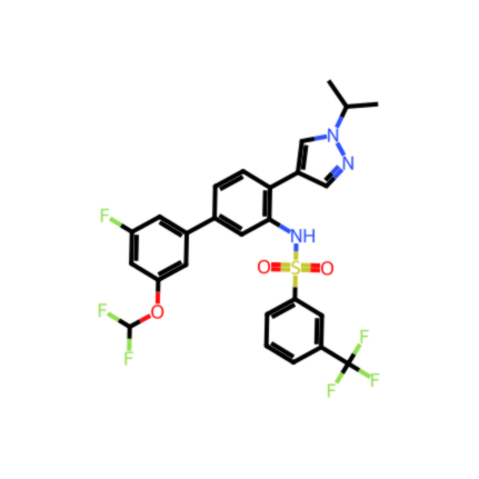 CC(C)n1cc(-c2ccc(-c3cc(F)cc(OC(F)F)c3)cc2NS(=O)(=O)c2cccc(C(F)(F)F)c2)cn1